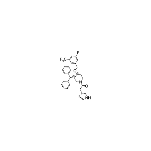 O=C(Cc1c[nH]cn1)N1CC[C@H](OCc2cc(F)cc(C(F)(F)F)c2)[C@H](C(c2ccccc2)c2ccccc2)C1